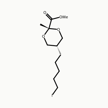 COC(=O)[C@]1(C)OC[C@H](CCCCCI)CO1